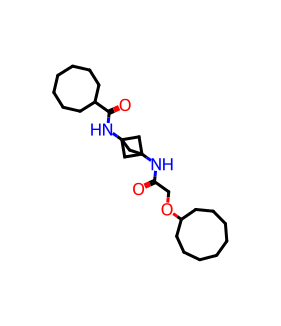 O=C(COC1CCCCCCCC1)NC12CC(NC(=O)C3CCCCCCC3)(C1)C2